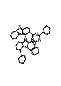 c1ccc(-c2nc(-c3ccccc3)nc(-c3ccc4sc5ccccc5c4c3-n3c4ccccc4c4c(-c5ccccc5)cccc43)n2)cc1